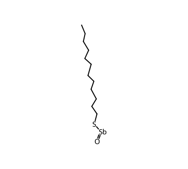 CCCCCCCCCCCC[S][Sb]=[O]